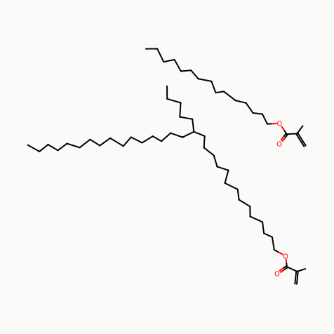 C=C(C)C(=O)OCCCCCCCCCCCCCCC.C=C(C)C(=O)OCCCCCCCCCCCCCCC(CCCCC)CCCCCCCCCCCCCCCC